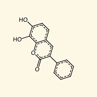 O=c1oc2c(O)c(O)ccc2cc1-c1ccccc1